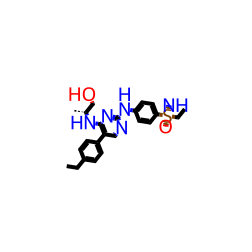 CCc1ccc(-c2cnc(Nc3ccc(S(=N)(=O)CC)cc3)nc2N[C@H](C)CO)cc1